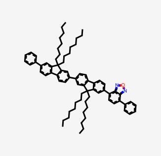 CCCCCCCCC1(CCCCCCCC)c2cc(-c3ccccc3)ccc2-c2ccc(-c3ccc4c(c3)C(CCCCCCCC)(CCCCCCCC)c3cc(-c5ccc(-c6ccccc6)c6nonc56)ccc3-4)cc21